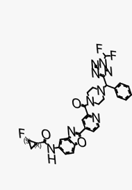 O=C(Nc1ccc2oc(-c3ccnc(C(=O)N4CCN(C(c5ccccc5)c5nnn(C(F)F)n5)CC4)c3)nc2c1)[C@H]1C[C@@H]1F